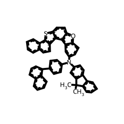 CC1(C)c2ccccc2-c2ccc(N(c3ccc(-c4cccc5ccccc45)cc3)c3ccc4oc5ccc6sc7c8ccccc8ccc7c6c5c4c3)cc21